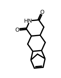 O=C1CC2CC3C4C=CC(C4)C3CC2C(=O)N1